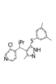 Cc1cc(C)cc(Sc2[nH]nc(C)c2C(c2ccncc2Cl)C(C)C)c1